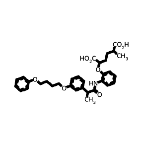 CC(CCC(Oc1ccccc1NC(=O)C(C)c1cccc(OCCCCOc2ccccc2)c1)C(=O)O)C(=O)O